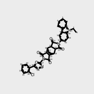 CCn1c2ccccc2c2cc(N3C(=O)C4C5C=CC(C4C3=O)C3C(=O)N(c4nnc(-c6ccccc6Cl)o4)C(=O)C53)ccc21